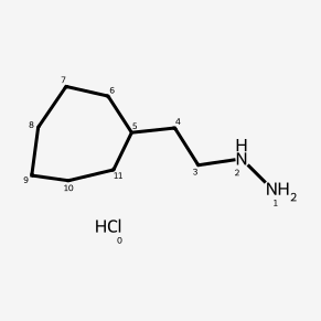 Cl.NNCCC1CCCCCC1